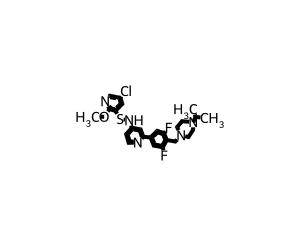 COc1ncc(Cl)cc1SNc1ccnc(-c2cc(F)c(CN3CCN(C(C)C)CC3)c(F)c2)c1